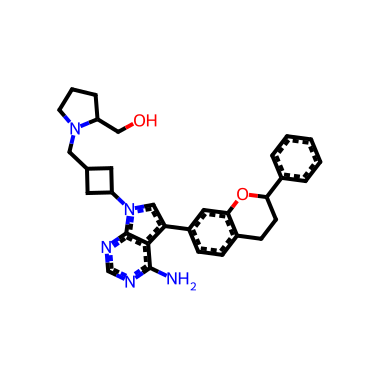 Nc1ncnc2c1c(-c1ccc3c(c1)OC(c1ccccc1)CC3)cn2C1CC(CN2CCCC2CO)C1